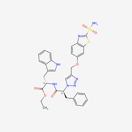 CCOC(=O)[C@H](Cc1c[nH]c2ccccc12)NC(=O)[C@H](Cc1ccccc1)n1cc(COc2ccc3nc(S(N)(=O)=O)sc3c2)nn1